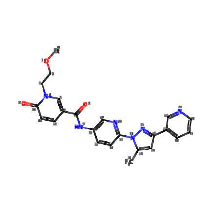 CCOCCn1cc(C(=O)Nc2ccc(-n3nc(-c4cccnc4)cc3C(F)(F)F)nc2)ccc1=O